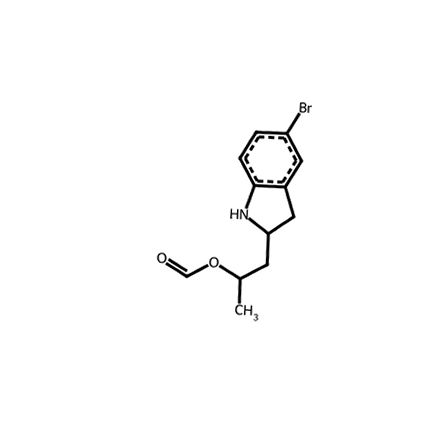 CC(CC1Cc2cc(Br)ccc2N1)OC=O